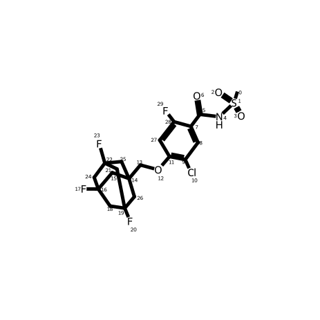 CS(=O)(=O)NC(=O)c1cc(Cl)c(OCC23CC4(F)CC(F)(CC(F)(C4)C2)C3)cc1F